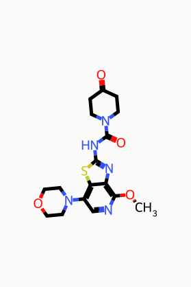 COc1ncc(N2CCOCC2)c2sc(NC(=O)N3CCC(=O)CC3)nc12